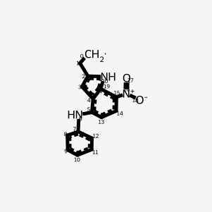 [CH2]Cc1cc2c(Nc3ccccc3)ccc([N+](=O)[O-])c2[nH]1